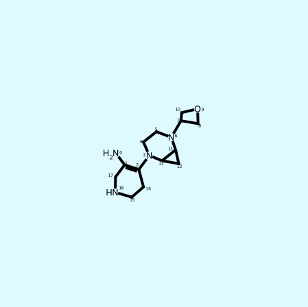 NC1=C(N2CCN(C3COC3)C3CC32)CCNC1